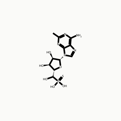 Cc1nc(N)c2ncn([C@@H]3O[C@H](C(O)P(O)(O)=S)[C@@H](O)[C@H]3O)c2n1